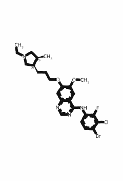 CCN1C[C@H](CCCOc2cc3ncnc(Nc4ccc(Br)c(Cl)c4F)c3cc2OC)[C@H](C)C1